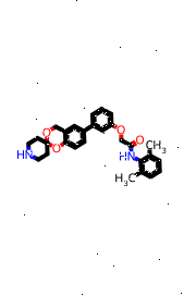 Cc1cccc(C)c1NC(=O)COc1cccc(-c2ccc3c(c2)COC2(CCNCC2)O3)c1